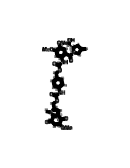 C=C1C[C@@H](CO)N(C(=O)c2cc(OC)c(OC)cc2NC(=O)OCc2ccc(NC(=O)OCc3cc4c(n3C)C(=O)C=C(OC)C4=O)cc2)C1